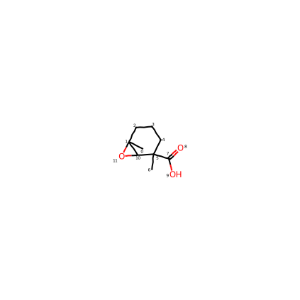 CC12CCCC(C)(C(=O)O)C1O2